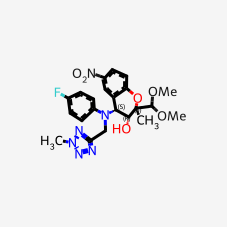 COC(OC)[C@@]1(C)Oc2ccc([N+](=O)[O-])cc2[C@H](N(Cc2nnn(C)n2)c2ccc(F)cc2)[C@H]1O